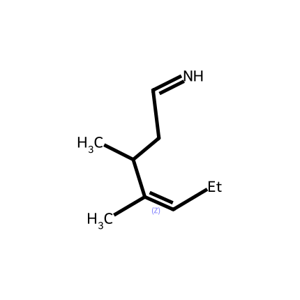 CC/C=C(/C)C(C)CC=N